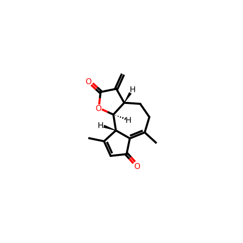 C=C1C(=O)O[C@@H]2[C@H]3C(C)=CC(=O)C3=C(C)CC[C@@H]12